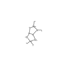 CC1C2OC(C)(C)OC2CN1C